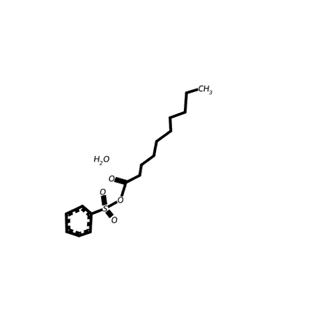 CCCCCCCCCC(=O)OS(=O)(=O)c1ccccc1.O